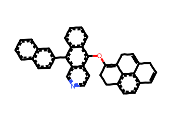 C1=Cc2ccc3c4c2C(=CCC4=C(Oc2c4ccccc4c(-c4ccc5ccccc5c4)c4cnccc24)CC3)C1